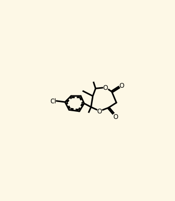 CC1OC(=O)CC(=O)OC(C)(c2ccc(Cl)cc2)C1C